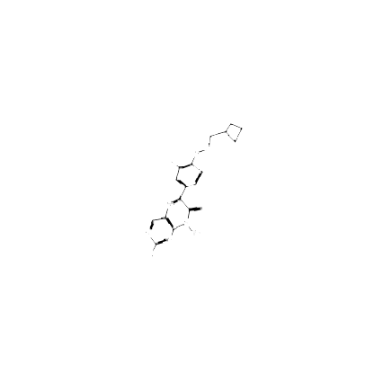 CC(C)n1c(=O)c(-c2ccc(NSCC3CCC3)c(F)c2)nc2cnc(N)nc21